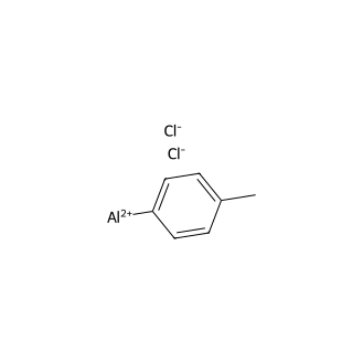 Cc1cc[c]([Al+2])cc1.[Cl-].[Cl-]